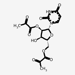 CC(=O)C(=O)OC[C@H]1O[C@@H](n2ccc(=O)[nH]c2=O)[C@H](OC(=O)C(C)=O)[C@@H]1O